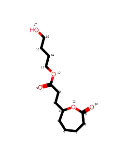 O=C(CCC1CCCCC(=O)O1)OCCCCO